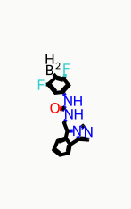 Bc1c(F)cc(NC(=O)NCC2c3ccccc3-c3cncn32)cc1F